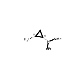 CCCN(NC)[C@H]1C[C@H]1C